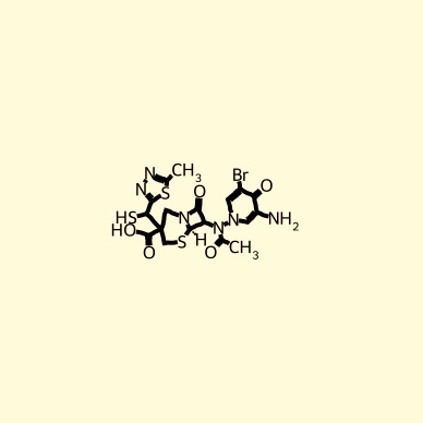 CC(=O)N(C1C(=O)N2CC(C(=O)O)(C(S)c3nnc(C)s3)CS[C@H]12)n1cc(N)c(=O)c(Br)c1